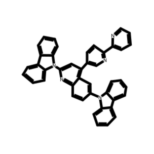 c1ccc(-c2ccc(-c3cc(-n4c5ccccc5c5ccccc54)nc4ccc(-n5c6ccccc6c6ccccc65)cc34)cn2)nc1